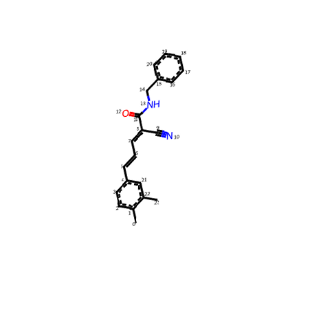 Cc1ccc(/C=C/C=C(\C#N)C(=O)NCc2ccccc2)cc1C